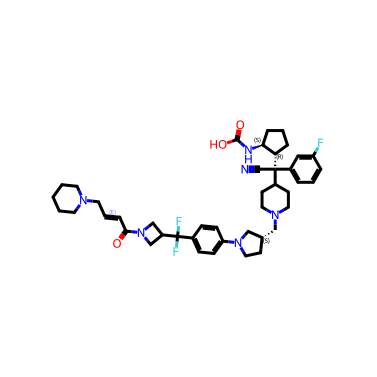 N#CC(c1cccc(F)c1)(C1CCN(C[C@@H]2CCN(c3ccc(C(F)(F)C4CN(C(=O)/C=C/CN5CCCCC5)C4)cc3)C2)CC1)[C@H]1CCC[C@@H]1NC(=O)O